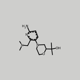 CN(C)Cc1nc(N)ccc1N1CCOC(C(C)(C)O)C1